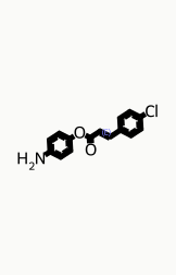 Nc1ccc(OC(=O)/C=C/c2ccc(Cl)cc2)cc1